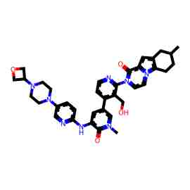 CC1CCc2c(cc3c(=O)n(-c4nccc(-c5cc(Nc6ccc(N7CCN(C8COC8)CC7)cn6)c(=O)n(C)c5)c4CO)ccn23)C1